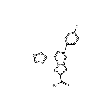 O=C(O)c1cc2nc(-c3ccc(Cl)cc3)cc(-c3ccsc3)n2n1